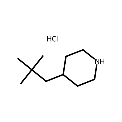 CC(C)(C)CC1CCNCC1.Cl